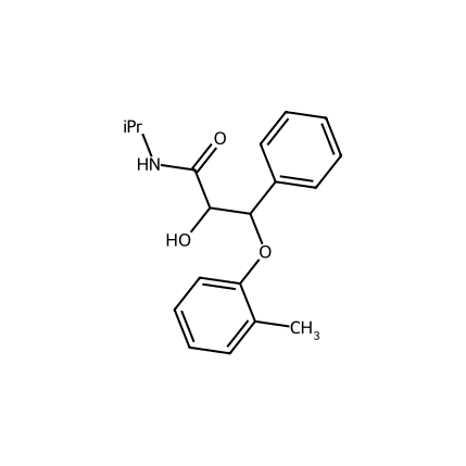 Cc1ccccc1OC(c1ccccc1)C(O)C(=O)NC(C)C